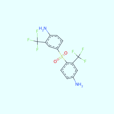 Nc1ccc(S(=O)(=O)c2ccc(N)c(C(F)(F)F)c2)c(C(F)(F)F)c1